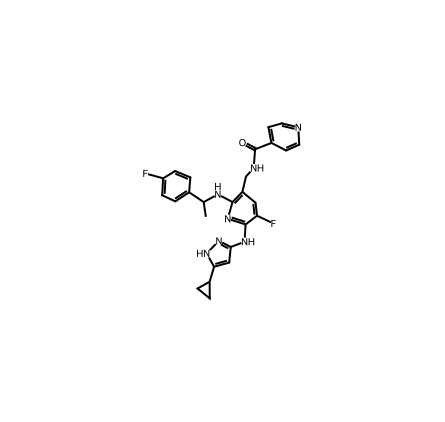 CC(Nc1nc(Nc2cc(C3CC3)[nH]n2)c(F)cc1CNC(=O)c1ccncc1)c1ccc(F)cc1